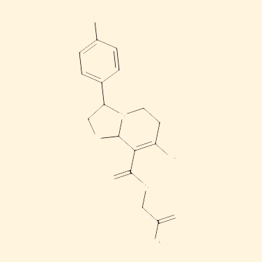 COC(=O)CNC(=O)C1=C(O)CCN2C1OCC2c1ccc(I)cc1